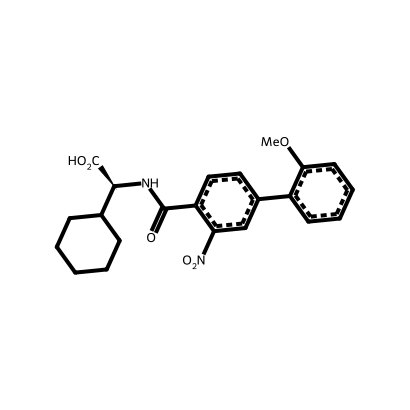 COc1ccccc1-c1ccc(C(=O)N[C@H](C(=O)O)C2CCCCC2)c([N+](=O)[O-])c1